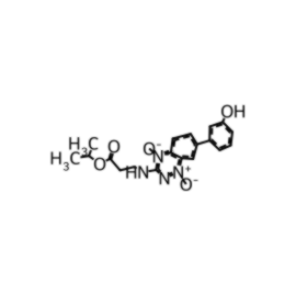 CC(C)OC(=O)CCNc1n[n+]([O-])c2cc(-c3cccc(O)c3)ccc2[n+]1[O-]